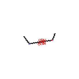 CCCCCC/C=C\CCCCCCCC(=O)C(O)C(O)C(O)C(=O)CCCCCCC/C=C\CCCCCCCC